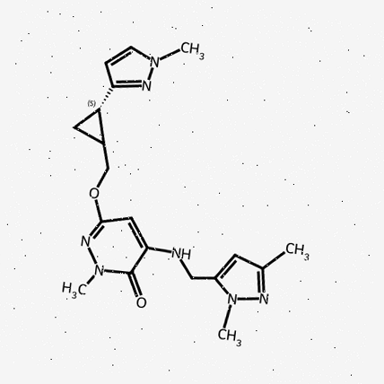 Cc1cc(CNc2cc(OCC3C[C@@H]3c3ccn(C)n3)nn(C)c2=O)n(C)n1